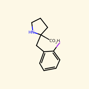 O=C(O)C1(Cc2ccccc2I)CCCN1